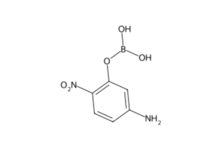 Nc1ccc([N+](=O)[O-])c(OB(O)O)c1